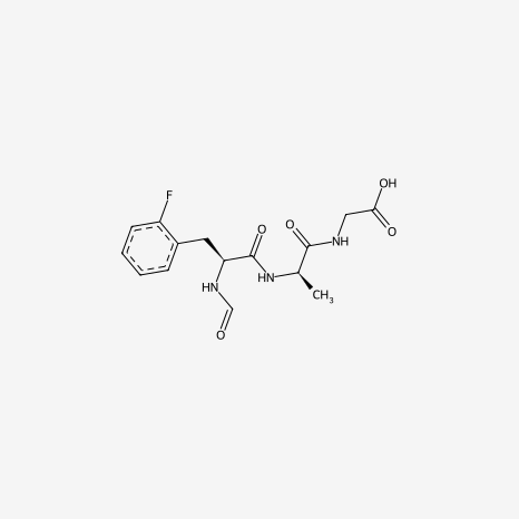 C[C@@H](NC(=O)[C@H](Cc1ccccc1F)NC=O)C(=O)NCC(=O)O